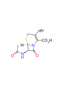 CCCC1=C(C(=O)O)N2C(=O)[C@@H](NC(=O)I)[C@H]2SC1